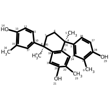 Cc1cc([C@]2(C)CC[C@](C)(c3ccc(O)c(C)c3)c3cc(O)c(C)cc32)ccc1O